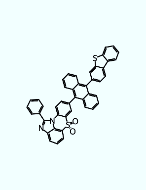 O=S1(=O)c2cc(-c3c4ccccc4c(-c4ccc5c(c4)sc4ccccc45)c4ccccc34)ccc2-n2c(-c3ccccc3)nc3cccc1c32